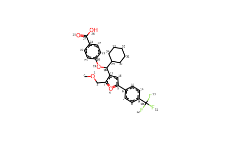 COCc1oc(-c2ccc(C(F)(F)F)cc2)cc1C(Oc1ccc(C(=O)O)cc1)C1CCCCC1